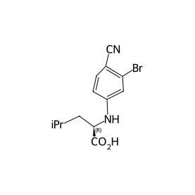 CC(C)C[C@@H](Nc1ccc(C#N)c(Br)c1)C(=O)O